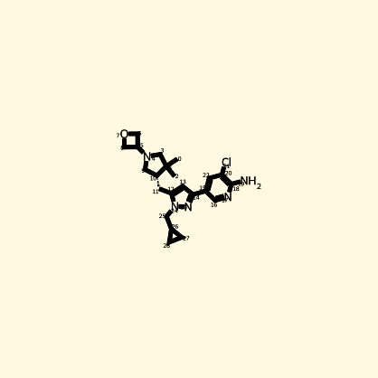 CC1(C)CN(C2COC2)C[C@H]1Cc1cc(-c2cnc(N)c(Cl)c2)nn1CC1CC1